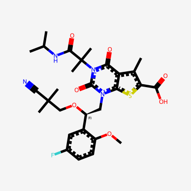 COc1ccc(F)cc1[C@H](Cn1c(=O)n(C(C)(C)C(=O)NC(C)C)c(=O)c2c(C)c(C(=O)O)sc21)OCC(C)(C)C#N